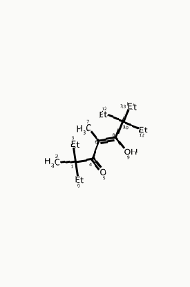 CCC(C)(CC)C(=O)/C(C)=C(\O)C(CC)(CC)CC